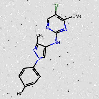 COc1nc(Nc2cn(-c3ccc(C#N)cc3)nc2C)ncc1Cl